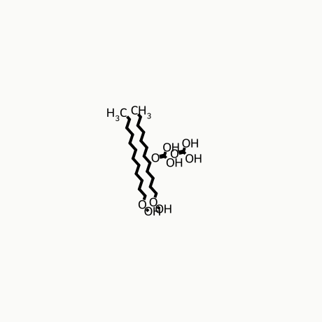 CCCCCCCCCCCCOO.CCCCCCCCCCCCOO.O=C(O)O.O=C(O)O